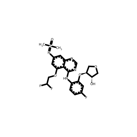 CS(C)(=O)=Nc1cc(OCC(F)F)c2c(Nc3ccc(F)cc3O[C@H]3COC[C@@H]3O)ncnc2c1